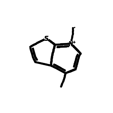 [CH2][n+]1ccc(C)c2ccsc21